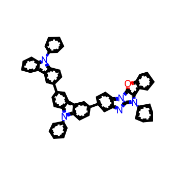 c1ccc(-n2c3ccccc3c3cc(-c4ccc5c(c4)c4cc(-c6ccc7c(c6)nc6n(-c8ccccc8)c8c9ccccc9oc8n76)ccc4n5-c4ccccc4)ccc32)cc1